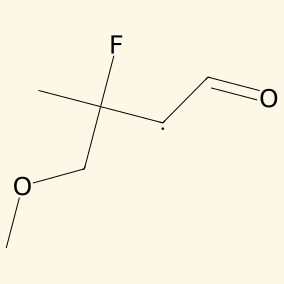 COCC(C)(F)[CH]C=O